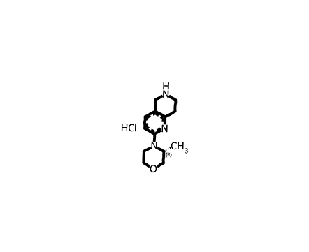 C[C@@H]1COCCN1c1ccc2c(n1)CCNC2.Cl